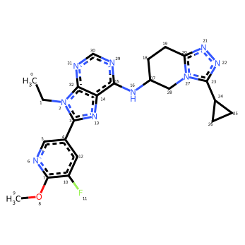 CCn1c(-c2cnc(OC)c(F)c2)nc2c(NC3CCc4nnc(C5CC5)n4C3)ncnc21